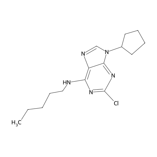 CCCCCNc1nc(Cl)nc2c1ncn2C1CCCC1